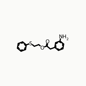 Nc1cccc(CC(=O)OCCSc2ccccc2)c1